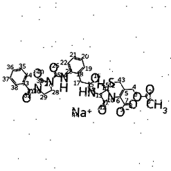 CC(=O)OCC1=C(C(=O)[O-])N2C(=O)C(NC(=O)Cc3ccccc3NC(=O)N3CCN(C(=O)c4ccccc4)C3=O)[C@H]2SC1.[Na+]